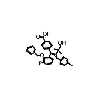 CC(C)(CO)c1c(-c2ccc(C(=O)O)cc2)c2c(OCc3ccccc3)c(F)ccc2n1-c1ccc(F)cc1